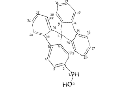 OPc1ccc2c(c1)C1(c3ccccc3-c3ccccc31)c1ccccc1-2